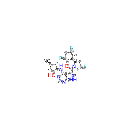 N#C[C@H]1C[C@@H](O)[C@H](Nc2ncnc3[nH]nc(C(=O)N4C[C@@H](F)C[C@@H]4c4cc(F)cc(F)c4)c23)C1